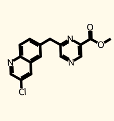 COC(=O)c1cncc(Cc2ccc3ncc(Cl)cc3c2)n1